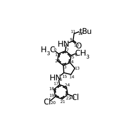 Cc1cc2c(c(C)c1NC(=O)CC(C)(C)C)CCC2Nc1cc(Cl)cc(Cl)c1